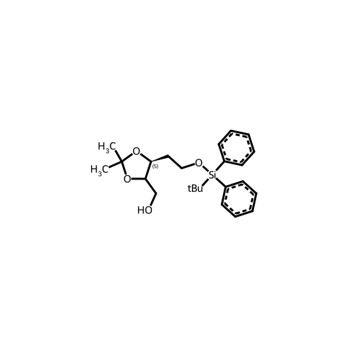 CC1(C)OC(CO)[C@H](CCO[Si](c2ccccc2)(c2ccccc2)C(C)(C)C)O1